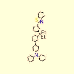 CCC1(CC)c2cc(-c3nc4ccccc4s3)ccc2C2C=CC(c3ccc(N(c4ccccc4)c4ccccc4)cc3)=CC21